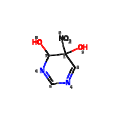 O=[N+]([O-])C1(O)C=NC=NC1O